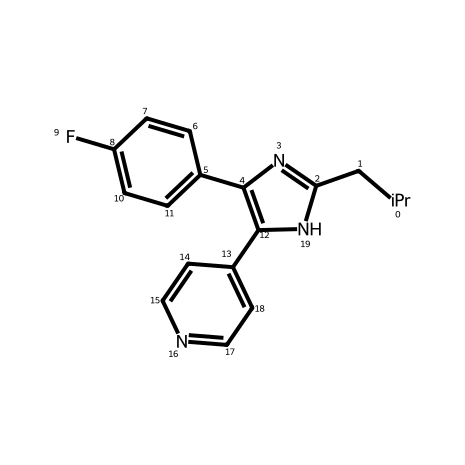 CC(C)Cc1nc(-c2ccc(F)cc2)c(-c2ccncc2)[nH]1